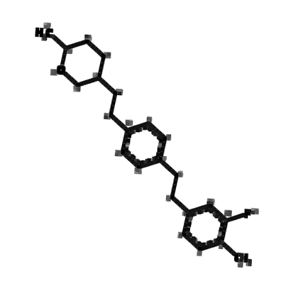 Cc1ccc(CCc2ccc(CCC3CCC(C)OC3)cc2)cc1F